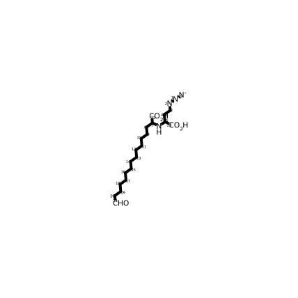 [N-]=[N+]=NCCC(NC(CCCCCCCCCCCCCC=O)C(=O)O)C(=O)O